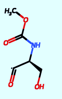 COC(=O)N[C@H]([C]=O)CO